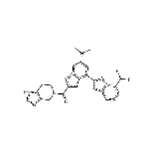 CN(C)c1cc(-c2cc3cccc(C(F)F)n3n2)c2cc(C(=O)N3CCc4[nH]cnc4C3)nn2c1